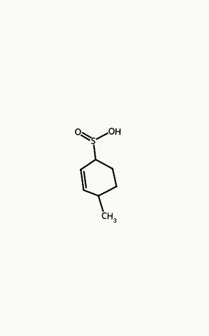 CC1C=CC(S(=O)O)CC1